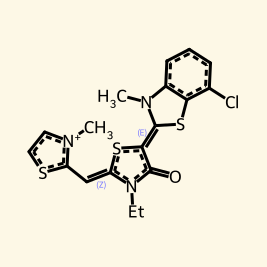 CCn1c(=O)/c(=C2\Sc3c(Cl)cccc3N2C)s/c1=C\c1scc[n+]1C